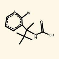 CC(C)(C)C(C)(NC(=O)O)c1cccnc1Br